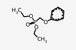 CCOP(=O)(COc1ccccc1)OCC